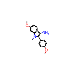 COc1ccc(-c2c(N)c3ccc(OC)cc3n2C)cc1